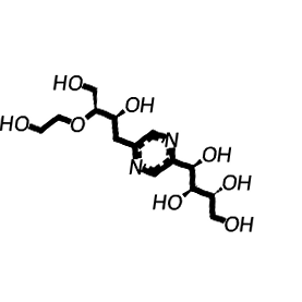 OCCO[C@@H](CO)[C@@H](O)Cc1cnc([C@@H](O)[C@H](O)[C@H](O)CO)cn1